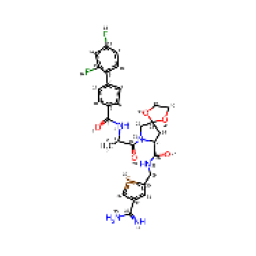 C[C@@H](NC(=O)c1ccc(-c2ccc(F)cc2F)cc1)C(=O)N1CC2(C[C@H]1C(=O)NCc1cc(C(=N)N)cs1)OCCO2